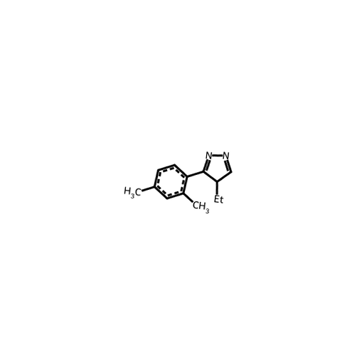 CCC1C=NN=C1c1ccc(C)cc1C